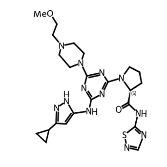 COCCN1CCN(c2nc(Nc3cc(C4CC4)n[nH]3)nc(N3CCC[C@H]3C(=O)Nc3ncns3)n2)CC1